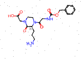 NCCC[C@H]1C(=O)N(CC(=O)O)CCN1C(=O)CNC(=O)OCc1ccccc1